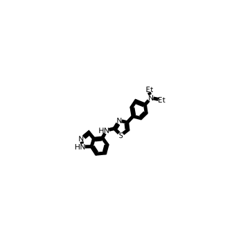 CCN(CC)c1ccc(-c2csc(Nc3cccc4[nH]ncc34)n2)cc1